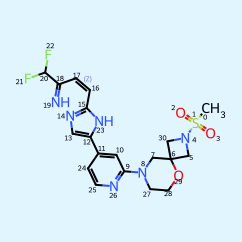 CS(=O)(=O)N1CC2(CN(c3cc(-c4cnc(/C=C\C(=N)C(F)F)[nH]4)ccn3)CCO2)C1